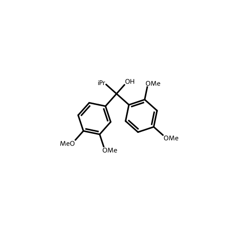 COc1ccc(C(O)(c2ccc(OC)c(OC)c2)C(C)C)c(OC)c1